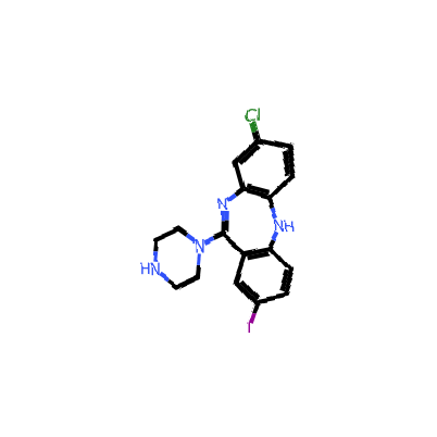 Clc1ccc2c(c1)N=C(N1CCNCC1)c1cc(I)ccc1N2